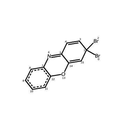 BrC1(Br)C=CC2=Nc3ccccc3OC2=C1